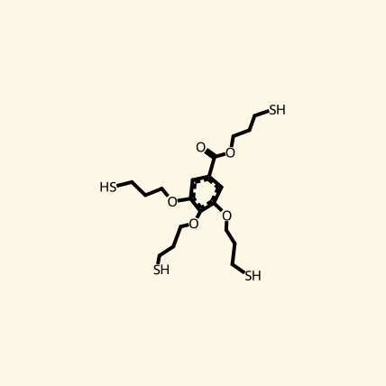 O=C(OCCCS)c1cc(OCCCS)c(OCCCS)c(OCCCS)c1